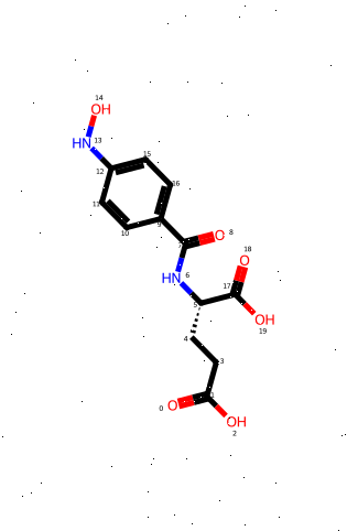 O=C(O)CC[C@H](NC(=O)c1ccc(NO)cc1)C(=O)O